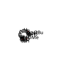 C=C1CC2CC[C@@]34CC5O[C@H]6[C@@H](O3)[C@H]3O[C@H](CC[C@@H]3O[C@H]6[C@H]5O4)CC(=O)CC3[C@H](C[C@H]4O[C@@H](CCC1O2)C[C@@H](C)C4=C)O[C@H](C[C@H](O)CNC(=O)OC(C)(C)C)[C@@H]3OC